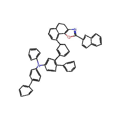 C1=CC(c2cc(N(c3ccccc3)c3ccc(-c4ccccc4)cc3)ccc2-c2ccccc2)=CC(C2=C3c4oc(-c5ccc6ccccc6c5)nc4CCC3CC=C2)C1